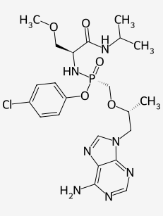 COC[C@H](N[P@](=O)(CO[C@H](C)Cn1cnc2c(N)ncnc21)Oc1ccc(Cl)cc1)C(=O)NC(C)C